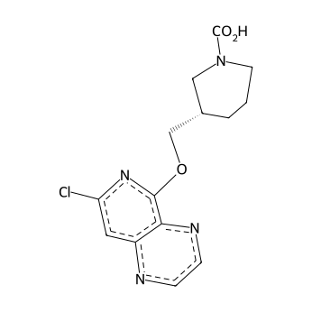 O=C(O)N1CCC[C@H](COc2nc(Cl)cc3nccnc23)C1